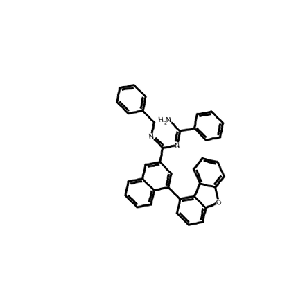 N/C(=N\C(=N/Cc1ccccc1)c1cc(-c2cccc3oc4ccccc4c23)c2ccccc2c1)c1ccccc1